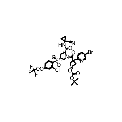 CC(C)(C)OC(=O)ON1CC(C(=O)N2C[C@H](S(=O)(=O)c3ccc(OCC(F)(F)F)cc3Cl)C[C@H]2C(=O)NC2(C#N)CC2)(c2ccc(Br)cn2)C1